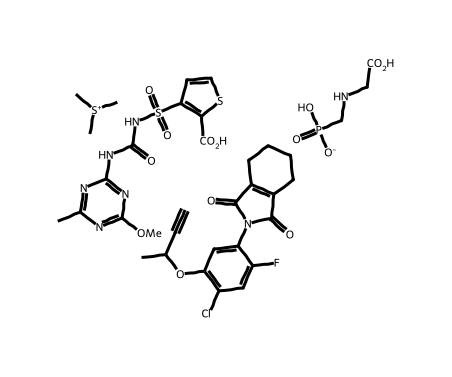 C#CC(C)Oc1cc(N2C(=O)C3=C(CCCC3)C2=O)c(F)cc1Cl.COc1nc(C)nc(NC(=O)NS(=O)(=O)c2ccsc2C(=O)O)n1.C[S+](C)C.O=C(O)CNCP(=O)([O-])O